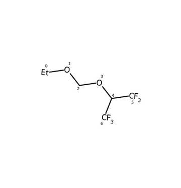 CCOCOC(C(F)(F)F)C(F)(F)F